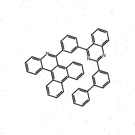 c1ccc(-c2cccc(-c3nc(-c4cccc(-c5nc6ccccc6c6c7ccccc7c7ccccc7c56)c4)c4ccccc4n3)c2)cc1